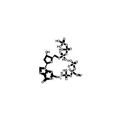 Nc1nc2c(ncn2[C@H]2C[C@H](O)[C@@H](COP(=O)(O)OP(=O)(O)OP(=O)(O)O)O2)c(=O)[nH]1.O=P([O-])(O)OP(=O)(O)OP(=O)(O)O.[Na+]